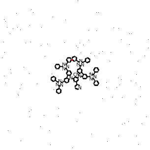 N#Cc1c(-n2c3ccc(-c4nc(-c5ccccc5)nc(-c5ccccc5)n4)cc3c3cc(-c4nc(-c5ccccc5)nc(-c5ccccc5)n4)ccc32)cc(-c2cccnc2)cc1-n1c2ccc(-c3nc(-c4ccccc4)nc(-c4ccccc4)n3)cc2c2cc(-c3nc(-c4ccccc4)nc(-c4ccccc4)n3)ccc21